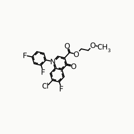 COCCOC(=O)c1cn(-c2ccc(F)cc2F)c2cc(Cl)c(F)cc2c1=O